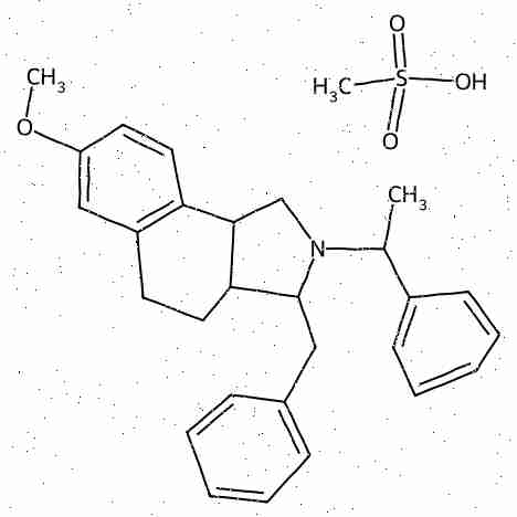 COc1ccc2c(c1)CCC1C2CN(C(C)c2ccccc2)C1Cc1ccccc1.CS(=O)(=O)O